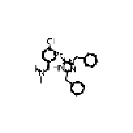 Clc1ccc(CN(I)I)cc1.[Pt]=[c]1[nH]c(Cc2ccccc2)nn1Cc1ccccc1